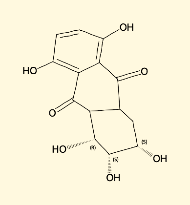 O=C1c2c(O)ccc(O)c2C(=O)C2C1C[C@H](O)[C@H](O)[C@@H]2O